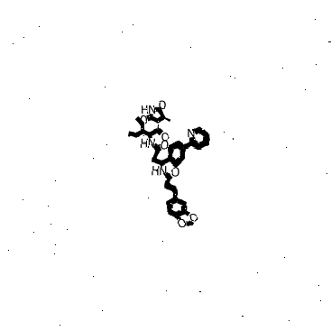 CCC(CC)C(NC(=O)CC(NC(=O)/C=C/c1ccc2c(c1)OCO2)c1ccc(-c2ccccn2)cc1)C(=O)[C@@H]1C(=O)NC(=O)[C@H]1C